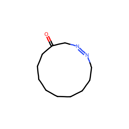 O=C1CCCCCCCCCN=NC1